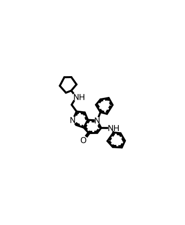 O=c1cc(Nc2ccccc2)n(-c2ccccc2)c2cc(CNC3CCCCC3)ncc12